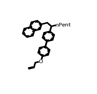 C=CCOc1ccc(-c2ccc(C(CCCCC)Cc3ccc4ccccc4c3)cc2)cc1